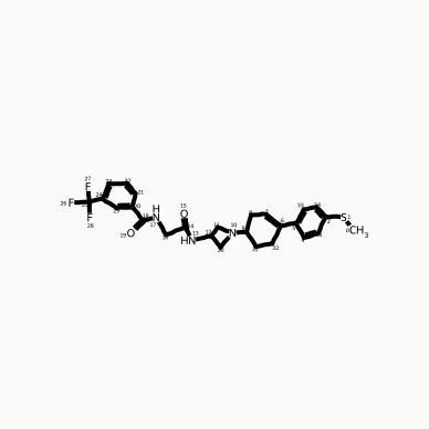 CSc1ccc(C2=CCC(N3CC(NC(=O)CNC(=O)c4cccc(C(F)(F)F)c4)C3)CC2)cc1